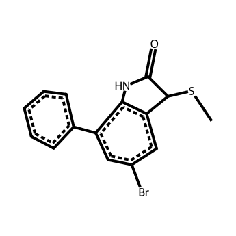 CSC1C(=O)Nc2c(-c3ccccc3)cc(Br)cc21